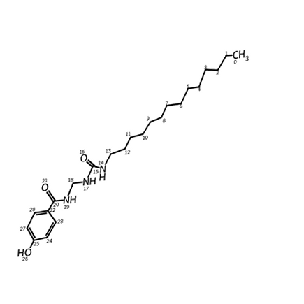 CCCCCCCCCCCCCCNC(=O)NCNC(=O)c1ccc(O)cc1